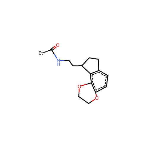 CCC(=O)NCCC1CCc2ccc3c(c21)OCCO3